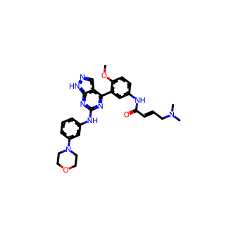 COc1ccc(NC(=O)/C=C/CN(C)C)cc1-c1nc(Nc2cccc(N3CCOCC3)c2)nc2[nH]ncc12